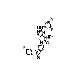 CC(C)N1C[C@@H](F)C[C@H](Nc2ncc3c(n2)N(C(C)C)C(=O)N(c2ccc(NS(=O)(=O)Cc4ccc(F)cc4)nc2)C3)C1